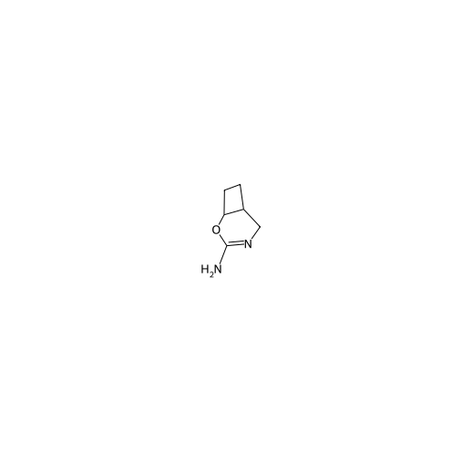 NC1=NCC2CCC2O1